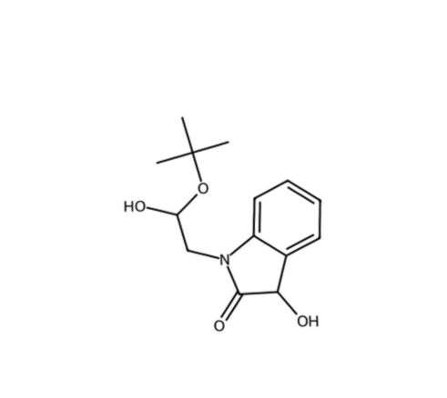 CC(C)(C)OC(O)CN1C(=O)C(O)c2ccccc21